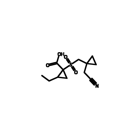 CCC1CC1(C(=O)O)S(=O)(=O)CC1(CC#N)CC1